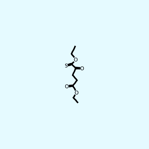 CCOC(=O)CCC(=O)C(=S)OCC